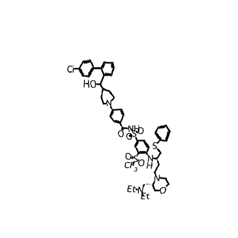 CCN(CC)C[C@H]1COCCN1CC[C@H](CSc1ccccc1)Nc1ccc(S(=O)(=O)NC(=O)c2ccc(N3CCC(C(O)c4ccccc4-c4ccc(Cl)cc4)CC3)cc2)cc1S(=O)(=O)C(F)(F)F